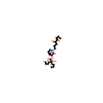 O=C(CCC[N+]12CCC(CC1)C(OC(=O)C(O)(c1cccs1)c1cccs1)C2)c1cccs1